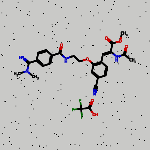 COC(=O)C(=Cc1ccc(C#N)cc1OCCNC(=O)c1ccc(C(=N)N(C)C)cc1)NC(C)=O.O=C(O)C(F)(F)F